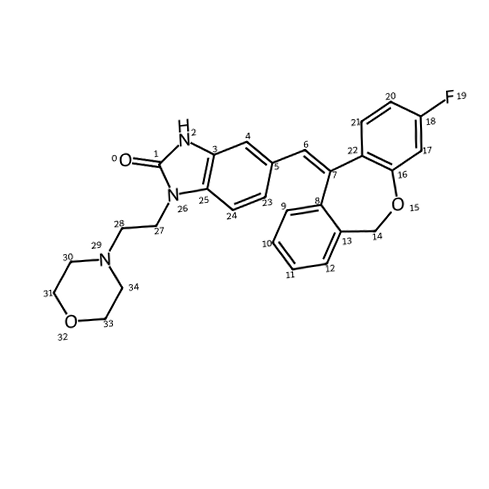 O=c1[nH]c2cc(/C=C3\c4ccccc4COc4cc(F)ccc43)ccc2n1CCN1CCOCC1